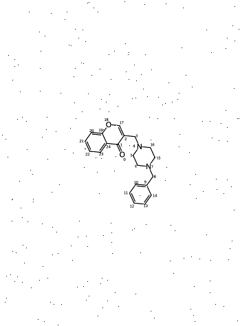 O=c1c(CN2CCN(Cc3ccccc3)CC2)coc2ccccc12